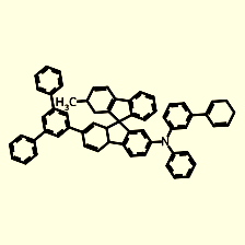 CC1C=CC2=C(C1)C1(c3ccccc32)c2cc(N(c3ccccc3)c3cccc(C4=CCCC=C4)c3)ccc2C2C=CC(c3cc(-c4ccccc4)cc(-c4ccccc4)c3)=CC21